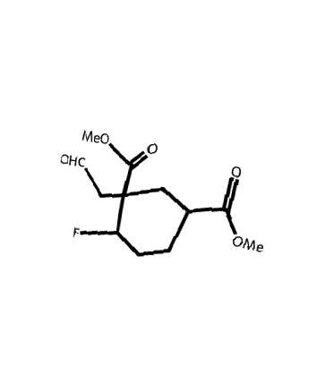 COC(=O)C1CCC(F)C(CC=O)(C(=O)OC)C1